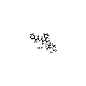 CC1(C)S[C@@H]2[C@H](NC(=O)C(NC(=O)CNC(=N)c3ccncc3)c3ccccc3)C(=O)N2[C@H]1C(=O)O.Cl